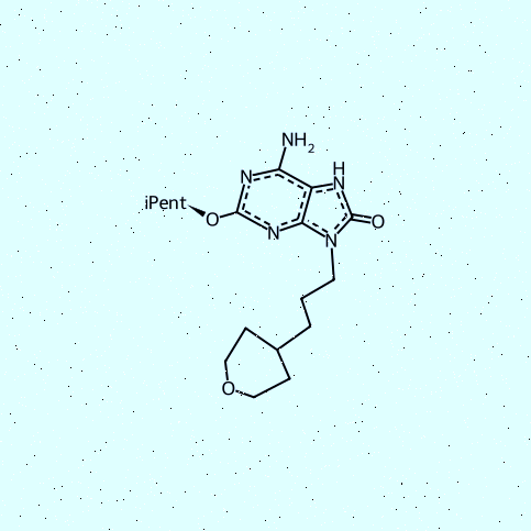 CCC[C@H](C)Oc1nc(N)c2[nH]c(=O)n(CCCC3CCOCC3)c2n1